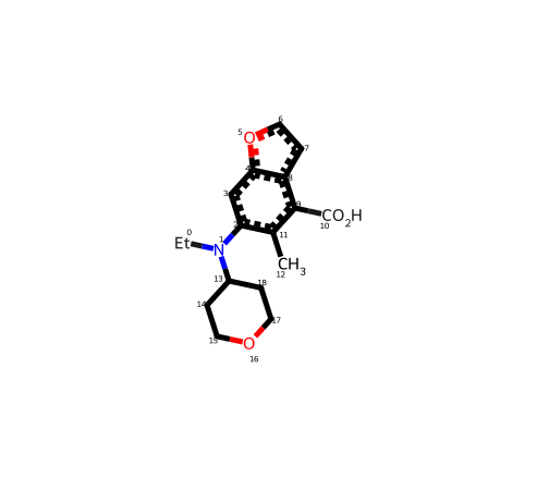 CCN(c1cc2occc2c(C(=O)O)c1C)C1CCOCC1